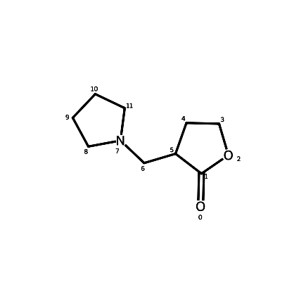 O=C1OCCC1CN1CCCC1